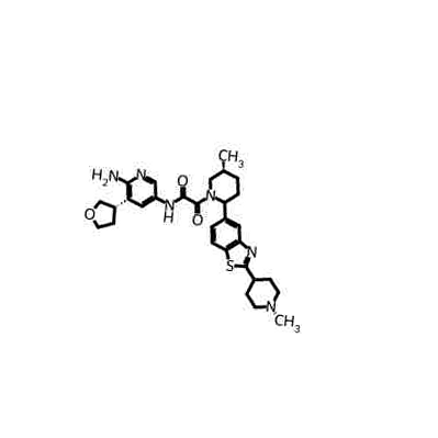 C[C@H]1CCC(c2ccc3sc(C4CCN(C)CC4)nc3c2)N(C(=O)C(=O)Nc2cnc(N)c([C@@H]3CCOC3)c2)C1